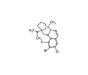 CSC1N=Cc2cc(Cl)c(Br)c(F)c2N1CC1(N(C)C)CCCC1